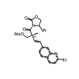 CCc1ccc2ccc(/C=C/[C@](C)(COC)C(=O)N3C(=O)OCC3C(C)C)cc2n1